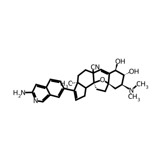 CN(C)[C@H]1C[C@@]23CC[C@]4(O2)C2CC=C(c5ccc6cc(N)ncc6c5)[C@@]2(C)CCC4(C#N)C=C3[C@@H](O)[C@@H]1O